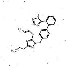 C/C=C/Cc1nc(CCC)nn1Cc1ccc(-c2ccccc2-c2nnn[nH]2)cc1